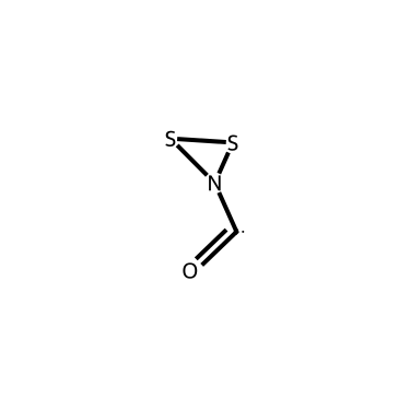 O=[C]n1ss1